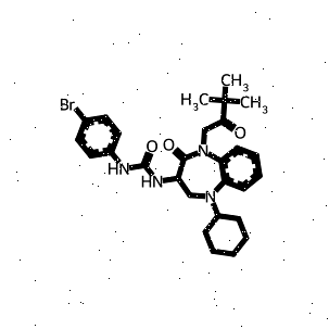 CC(C)(C)C(=O)CN1C(=O)C(NC(=O)Nc2ccc(Br)cc2)CN(C2CCCCC2)c2ccccc21